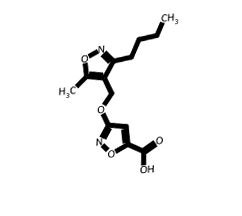 CCCCc1noc(C)c1COc1cc(C(=O)O)on1